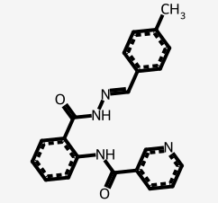 Cc1ccc(C=NNC(=O)c2ccccc2NC(=O)c2cccnc2)cc1